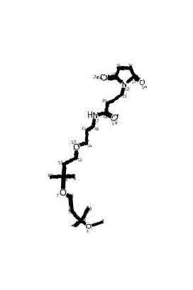 COC(C)(C)CCOC(C)(C)CCOCCCNC(=O)CCN1C(=O)CCC1=O